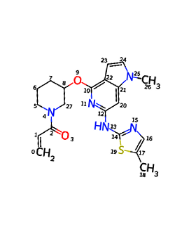 C=CC(=O)N1CCCC(Oc2nc(Nc3ncc(C)s3)cc3c2ccn3C)C1